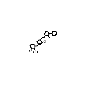 Cc1c(/C=C/c2ccc(CN3CCCC(O)C3CO)cc2Cl)cccc1-c1ccccc1